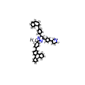 CC1(c2nc(-c3ccc(-c4cccnc4)cc3)cc(-c3ccc(-c4cccc5ccccc45)cc3)n2)C=CC(c2ccc3c4ccccc4c4ccccc4c3c2)=CC1